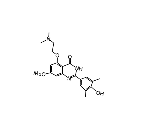 COc1cc(OCCN(C)C)c2c(=O)[nH]c(-c3cc(C)c(O)c(C)c3)nc2c1